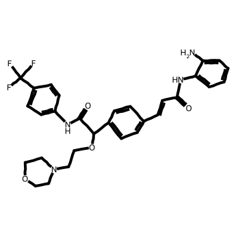 Nc1ccccc1NC(=O)C=Cc1ccc(C(OCCN2CCOCC2)C(=O)Nc2ccc(C(F)(F)F)cc2)cc1